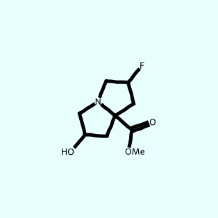 COC(=O)C12CC(O)CN1CC(F)C2